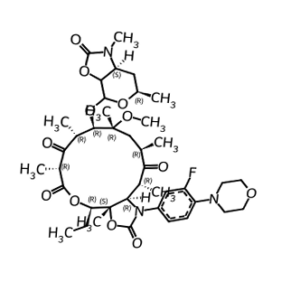 CC[C@H]1OC(=O)[C@H](C)C(=O)[C@H](C)[C@@H](OC2O[C@H](C)C[C@H]3C2OC(=O)N3C)[C@](C)(OC)C[C@@H](C)C(=O)[C@H](C)[C@H]2N(c3ccc(N4CCOCC4)c(F)c3)C(=O)O[C@]12C